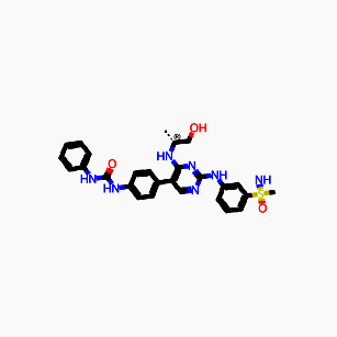 C[C@H](CO)Nc1nc(Nc2cccc(S(C)(=N)=O)c2)ncc1-c1ccc(NC(=O)Nc2ccccc2)cc1